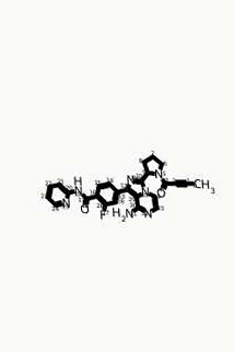 CC#CC(=O)N1CCCC1c1nc(-c2ccc(C(=O)Nc3ccccn3)c(F)c2)c2c(N)nccn12